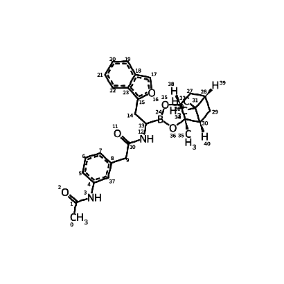 CC(=O)Nc1cccc(CC(=O)NC(Cc2occ3ccccc23)B2O[C@@H]3C[C@@H]4C[C@@H](C4(C)C)[C@]3(C)O2)c1